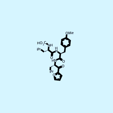 COc1ccc(C[C@H](NC(=O)[C@H](CC(C)C)NC(=O)O)C(=O)N[C@@H](CC(C)C)C(=O)c2ccco2)cc1